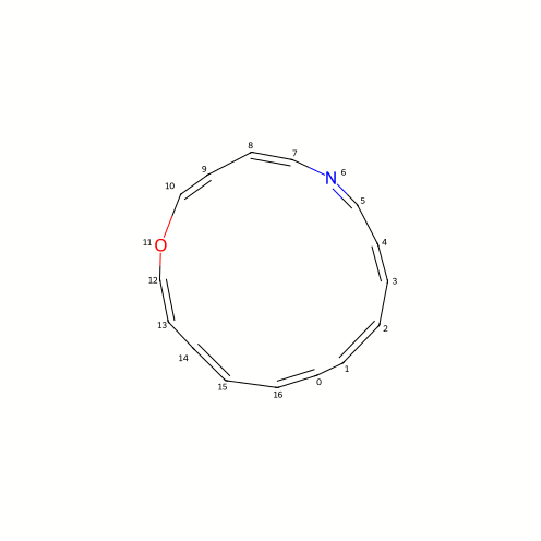 c1cccccnccccoccccc1